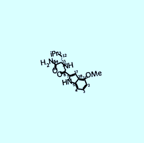 COc1cccc2[nH]c(C(=O)N[C@@H](CC(C)C)C(N)=O)cc12